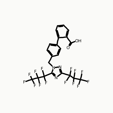 O=C(O)c1ccccc1-c1ccc(Cn2nc(C(F)(F)C(F)(F)C(F)(F)F)nc2C(F)(F)C(F)(F)C(F)(F)F)cc1